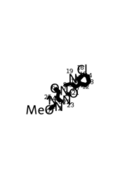 COc1nc2c(c(=O)n(Cc3cc4cccc(Cl)c4n3C)c(=O)n2C)n1C